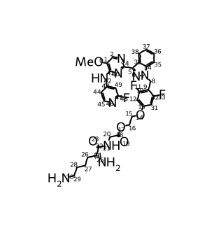 COc1cnc(-c2nn(Cc3c(F)cc(OCCOC(=O)CNC(=O)[C@H](N)CCCCN)cc3F)c3ccccc23)nc1Nc1ccnc(F)c1